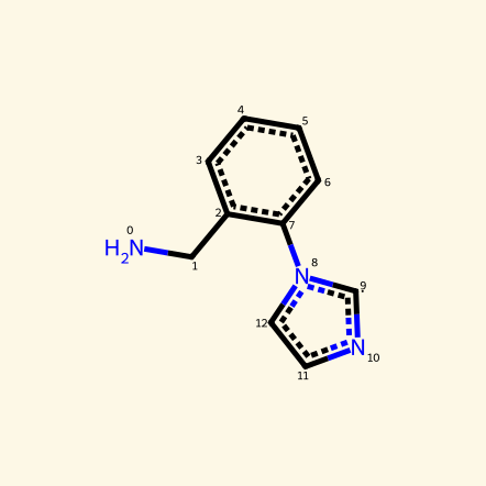 NCc1ccccc1-n1[c]ncc1